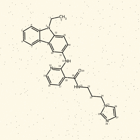 CCn1c2ccccc2c2cc(Nc3ncccc3C(=O)NCCCn3ccnc3)ccc21